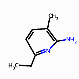 CCc1ccc(C)c(N)n1